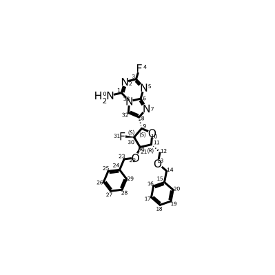 Nc1nc(F)nc2nc([C@@H]3O[C@H](COCc4ccccc4)[C@@H](OCc4ccccc4)[C@H]3F)cn12